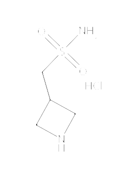 Cl.NS(=O)(=O)CC1CNC1